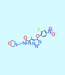 Cc1c(C(=O)NCCN2CCOCC2)cn2ncnc(Oc3ccc([N+](=O)[O-])cc3F)c12